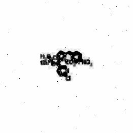 CC(C)(C)[Si](C)(C)O[C@H](c1ccc(Cl)nc1)[C@H]1CC[C@@H](Cc2ccc([N+](=O)[O-])cc2)N1C(=O)O